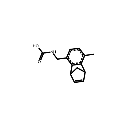 Cc1ccc(CNC(=O)O)c2c1C1C=CC2C1